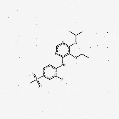 CCOc1c(Nc2ccc(S(C)(=O)=O)cc2F)ncnc1OC(C)C